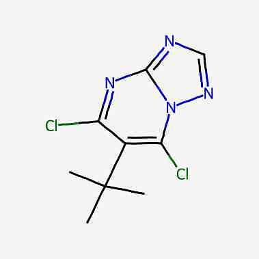 CC(C)(C)c1c(Cl)nc2ncnn2c1Cl